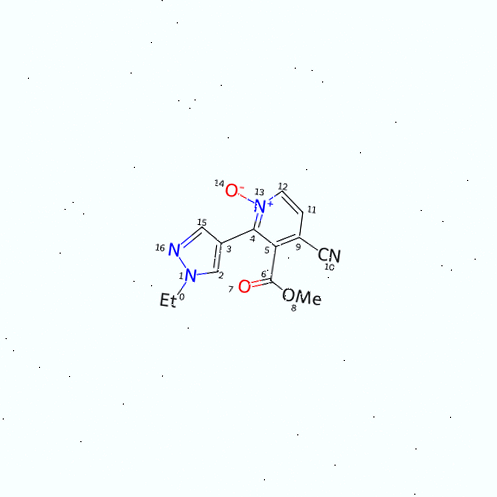 CCn1cc(-c2c(C(=O)OC)c(C#N)cc[n+]2[O-])cn1